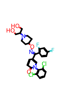 O=c1ccc(/C(=N/OC2CCN(C(CO)CO)CC2)c2ccc(F)cc2F)cn1-c1c(Cl)cccc1Cl